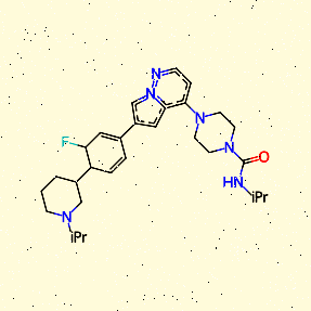 CC(C)NC(=O)N1CCN(c2ccnn3cc(C4=CC(F)C(C5CCCN(C(C)C)C5)C=C4)cc23)CC1